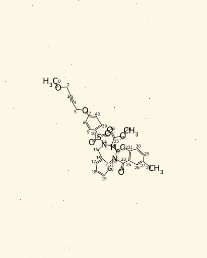 COCC#CCOc1ccc(S(=O)(=O)N2Cc3ccccc3N(C(=O)c3cc(C)ccc3C)CC2C(=O)OC)cc1